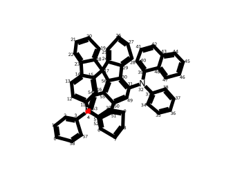 c1ccc(N(c2ccccc2)c2ccc3c(c2)C2(c4ccccc4-3)c3ccccc3-c3c(N(c4ccccc4)c4cccc5ccccc45)cc4ccccc4c32)cc1